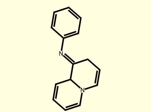 C1=CC2C(=Nc3ccccc3)CC=CN2C=C1